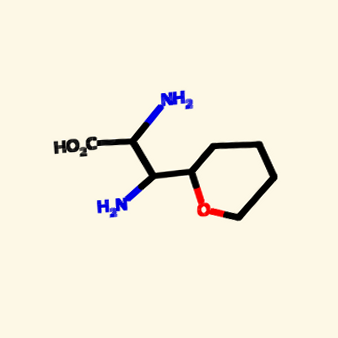 NC(C(=O)O)C(N)C1CCCCO1